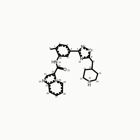 Cc1ccc(-c2noc(CC3CCNCC3)n2)cc1NC(=O)c1cnc2ccccn12